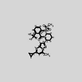 Cc1cc(C2CC2)nc2cc([C@@H]3CCCCN3C(=O)c3c(NS(C)(=O)=O)cccc3C(F)(F)F)nn12